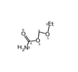 CCOCOC(N)=O